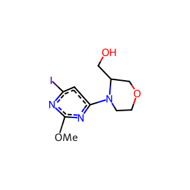 COc1nc(I)cc(N2CCOCC2CO)n1